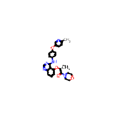 Cc1ccc(Oc2ccc(Nc3ncnc4cccc(O[C@H](C)C(=O)N5CCOCC5)c34)cc2)cn1